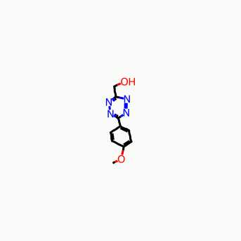 COc1ccc(-c2nnc(CO)nn2)cc1